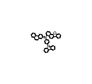 c1ccc2c(c1)ccc1cc(N(c3ccc(-n4c5ccccc5c5ccccc54)cc3)c3cccc4c3ccc3c5ccccc5oc43)ccc12